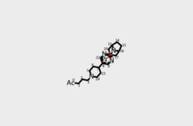 CC(=O)CCCN1CCC(c2cnc(N3C4CCC3CN(C(C)C)C4)nc2)CC1